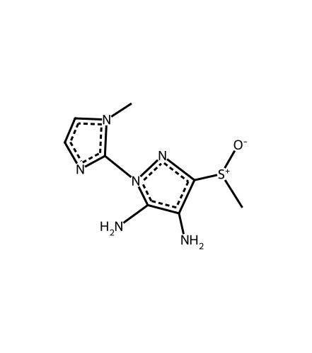 Cn1ccnc1-n1nc([S+](C)[O-])c(N)c1N